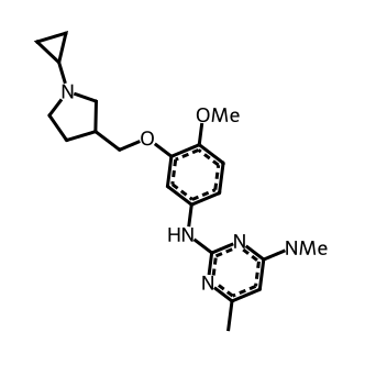 CNc1cc(C)nc(Nc2ccc(OC)c(OCC3CCN(C4CC4)C3)c2)n1